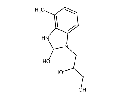 Cc1cccc2c1NC(O)N2CC(O)CO